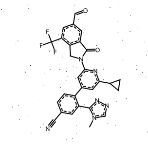 Cn1cnnc1-c1cc(C#N)ccc1-c1cc(C2CC2)nc(N2Cc3c(cc(C=O)cc3C(F)(F)F)C2=O)c1